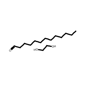 CCCCCCCCCCCCC=O.OCCO